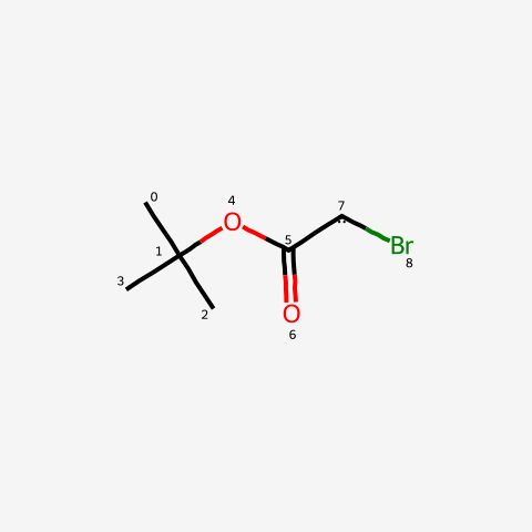 CC(C)(C)OC(=O)[C]Br